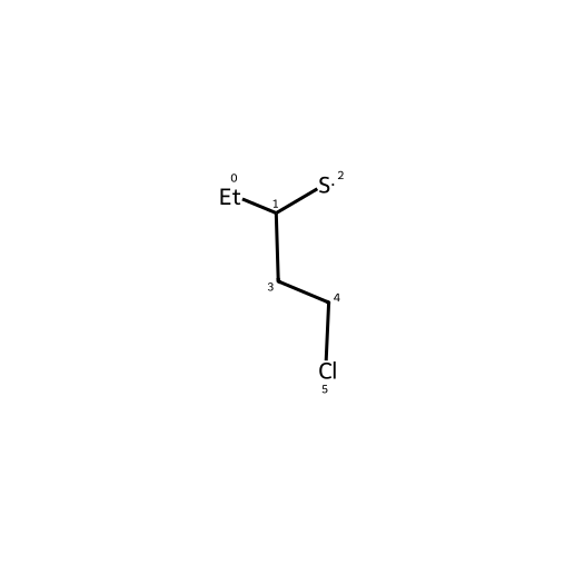 CCC([S])CCCl